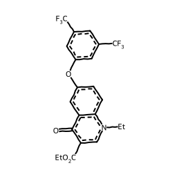 CCOC(=O)c1cn(CC)c2ccc(Oc3cc(C(F)(F)F)cc(C(F)(F)F)c3)cc2c1=O